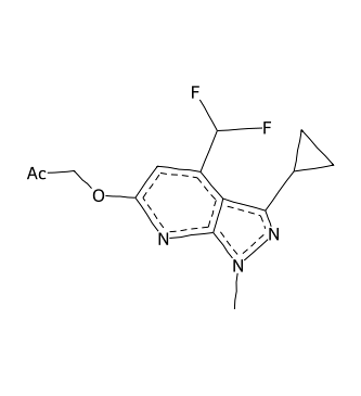 CC(=O)COc1cc(C(F)F)c2c(C3CC3)nn(C)c2n1